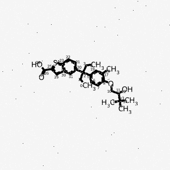 CCC(CC)(c1ccc(OCC(O)C(C)(C)C)c(C)c1)c1ccc2sc(C(=O)O)cc2c1